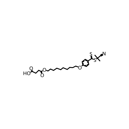 CC(C)(C#N)SC(=S)c1ccc(OCCCCCCCCCCOC(=O)CCC(=O)O)cc1